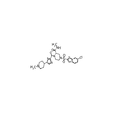 CNC(=O)C1CN(S(=O)(=O)c2cc3ccc(Cl)cc3s2)CCN1C(=O)c1ncc(C2CCN(C)CC2)s1